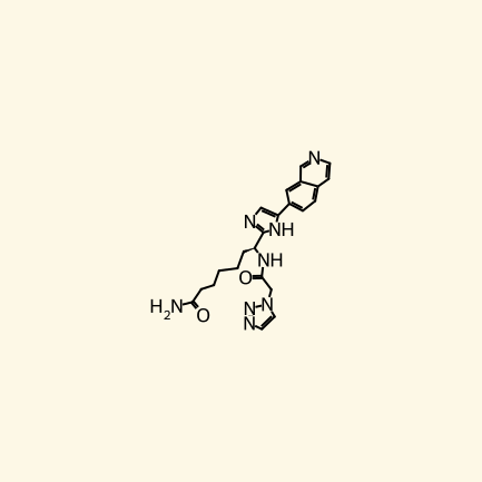 NC(=O)CCCCC[C@H](NC(=O)Cn1ccnn1)c1ncc(-c2ccc3ccncc3c2)[nH]1